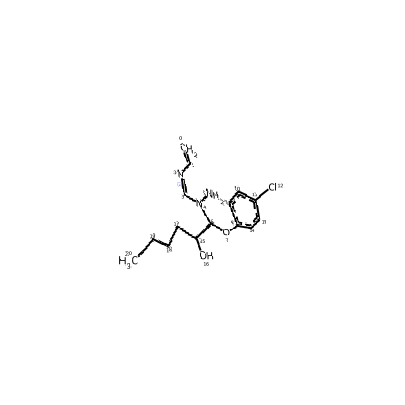 C=C/N=C\N(N)C(Oc1ccc(Cl)cc1)C(O)CCCC